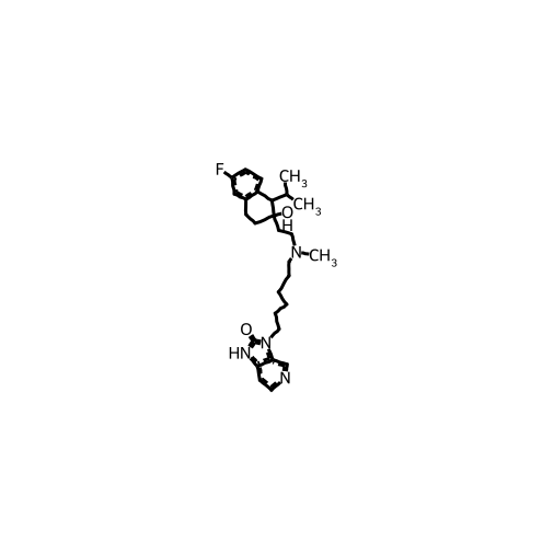 CC(C)C1c2ccc(F)cc2CCC1(O)CCN(C)CCCCCCn1c(=O)[nH]c2ccncc21